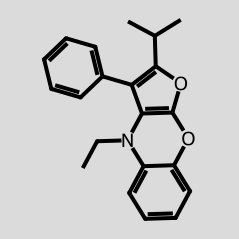 CCN1c2ccccc2Oc2oc(C(C)C)c(-c3ccccc3)c21